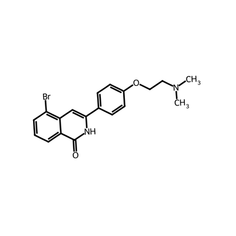 CN(C)CCOc1ccc(-c2cc3c(Br)cccc3c(=O)[nH]2)cc1